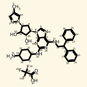 Cc1cnn([C@H]2C[C@@H](n3cnc4c(NCC(c5ccccc5)c5ccccc5)nc(NC5CCC(N)CC5)nc43)[C@H](O)C2O)c1.O=C(O)C(F)(F)F